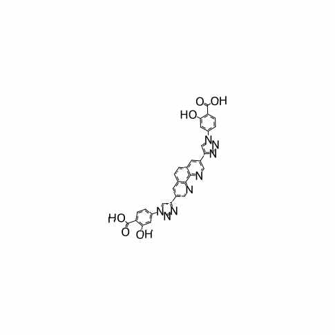 O=C(O)c1ccc(-n2cc(-c3cnc4c(ccc5cc(-c6cn(-c7ccc(C(=O)O)c(O)c7)nn6)cnc54)c3)nn2)cc1O